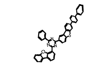 c1ccc(-c2ccc(-c3ccc4c(c3)sc3ccc(-c5nc(-c6ccccc6)nc(-c6cccc7c6oc6ccccc67)n5)cc34)cc2)cc1